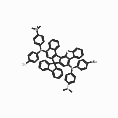 C[SiH](C)c1ccc(N(c2ccc(C(C)(C)C)cc2)c2cc3c(c4ccccc24)-c2c(cc(N(c4ccc([SiH](C)C)cc4)c4ccc(C(C)(C)C)cc4)c4c2oc2ccccc24)C32c3ccccc3-c3ccccc32)cc1